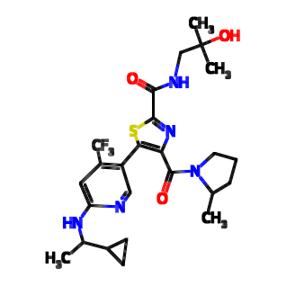 CC(Nc1cc(C(F)(F)F)c(-c2sc(C(=O)NCC(C)(C)O)nc2C(=O)N2CCCC2C)cn1)C1CC1